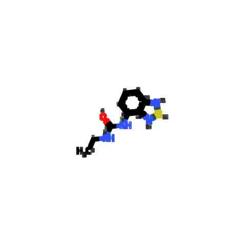 CCNC(=O)Nc1cccc2nsnc12